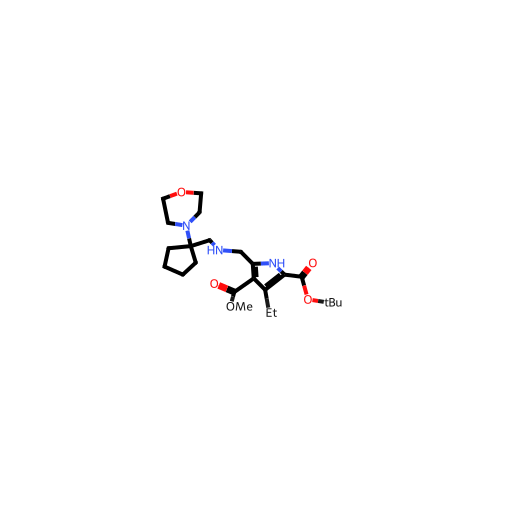 CCc1c(C(=O)OC(C)(C)C)[nH]c(CNCC2(N3CCOCC3)CCCC2)c1C(=O)OC